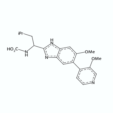 COc1cnccc1-c1cc2nc(C(CC(C)C)NC(=O)O)[nH]c2cc1OC